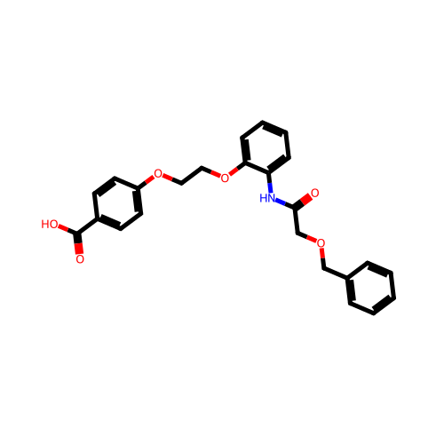 O=C(COCc1ccccc1)Nc1ccccc1OCCOc1ccc(C(=O)O)cc1